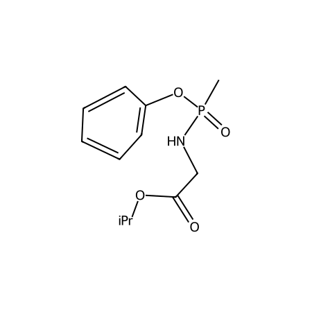 CC(C)OC(=O)CNP(C)(=O)Oc1ccccc1